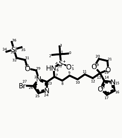 CC(C)(C)[S@@+]([O-])NC(CCCCCC1(c2ncco2)OCCO1)c1ncc(Br)n1COCC[Si](C)(C)C